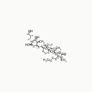 C=C1/C(=C\C=C2/CCC[C@]3(C)[C@@H]([C@H](C)C[C@H]4OC(=O)C(=C)[C@H]4CCCC)CC[C@@H]23)C[C@@H](O)[C@H](CCCO)[C@@H]1O